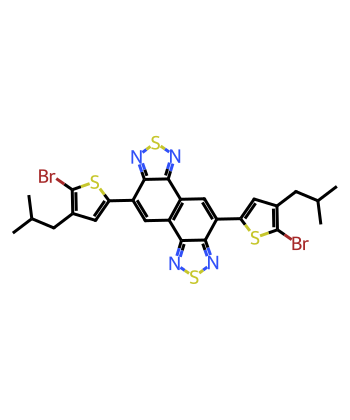 CC(C)Cc1cc(-c2cc3c(cc(-c4cc(CC(C)C)c(Br)s4)c4nsnc43)c3nsnc23)sc1Br